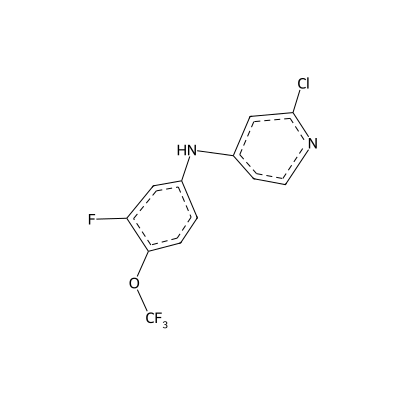 Fc1cc(Nc2ccnc(Cl)c2)ccc1OC(F)(F)F